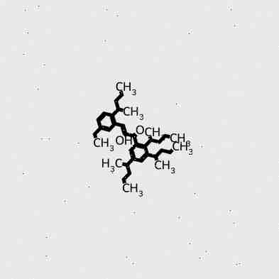 CCCC(C)c1cc(C(=O)C(O)=Cc2cc(CC)ccc2C(C)CCC)c(C(C)CCC)c(C(C)CCC)c1